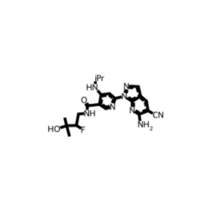 CC(C)Nc1cc(-n2ncc3cc(C#N)c(N)nc32)ncc1C(=O)NCC(F)C(C)(C)O